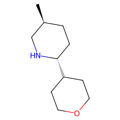 C[C@H]1CC[C@H](C2CCOCC2)NC1